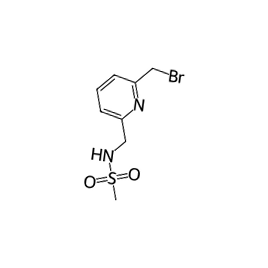 CS(=O)(=O)NCc1cccc(CBr)n1